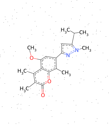 COc1cc(-c2cc(C(C)C)n(C)n2)c(C)c2oc(=O)c(C)c(C)c12